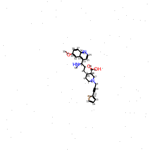 CNC(CC[C@@H]1CCN(CC#Cc2cccs2)C[C@@H]1C(=O)O)c1ccnc2ccc(OC)cc12